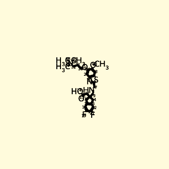 COc1cc2sc(CNCC3(CC(=O)O)Cc4cc(F)c(F)cc4C3)nc2cc1OCCC[N+](C)(C)C